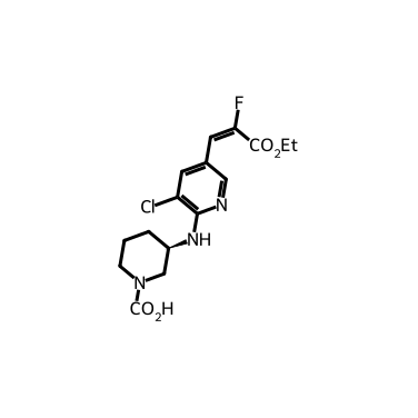 CCOC(=O)/C(F)=C\c1cnc(N[C@@H]2CCCN(C(=O)O)C2)c(Cl)c1